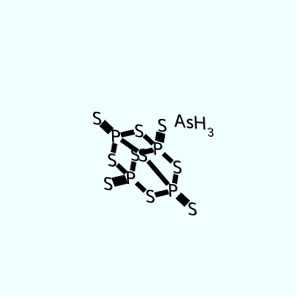 S=P12SP3(=S)SP(=S)(S1)SP(=S)(S2)S3.[AsH3]